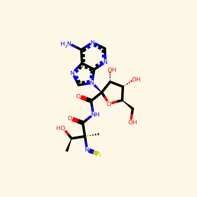 C[C@@H](O)[C@](C)(N=S)C(=O)NC(=O)[C@@]1(n2cnc3c(N)ncnc32)O[C@H](CO)[C@@H](O)[C@H]1O